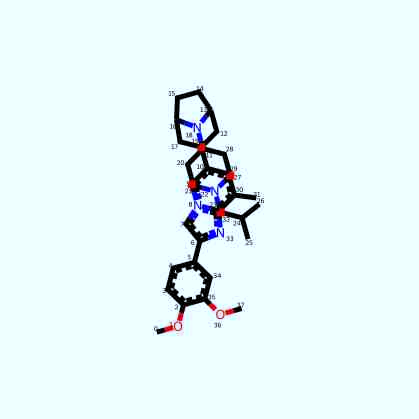 COc1ccc(-c2cn3cc(C4CC5CCC(C4)N5C4CCN(CC(C)C)CC4)cc(C)c3n2)cc1OC